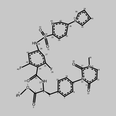 CC(C)OC(=O)[C@H](Cc1ccc(-n2c(=O)ccn(C)c2=O)cc1)NC(=O)c1c(F)cc(NS(=O)(=O)c2ccc(-n3cccc3)cn2)cc1F